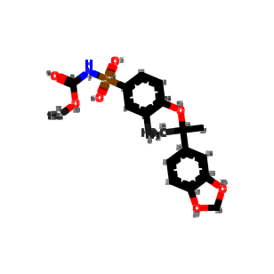 CCCc1cc(S(=O)(=O)NC(=O)OC(C)(C)C)ccc1OC(C)(C(=O)O)c1ccc2c(c1)OCO2